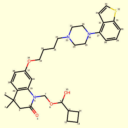 CC1(C)CC(=O)N(COC(O)C2CCC2)c2cc(OCCCCN3CCN(c4cccc5sccc45)CC3)ccc21